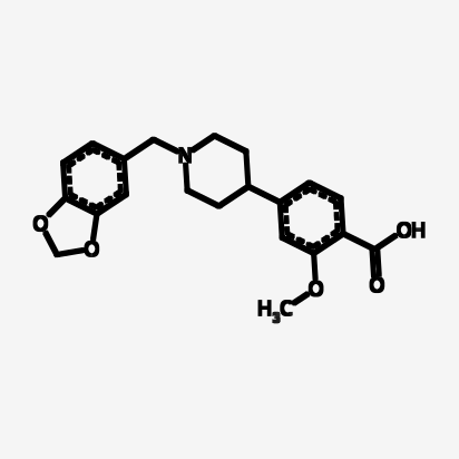 COc1cc(C2CCN(Cc3ccc4c(c3)OCO4)CC2)ccc1C(=O)O